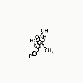 CCCCn1c(=O)c(C(=O)NCCO)c(O)c2ncc(Cc3ccc(F)cc3)cc21